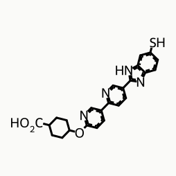 O=C(O)C1CCC(Oc2ccc(-c3ccc(-c4nc5ccc(S)cc5[nH]4)cn3)cn2)CC1